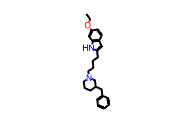 CCOc1ccc2cc(CCCCN3CCCC(Cc4ccccc4)C3)[nH]c2c1